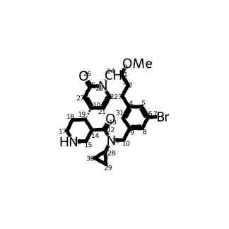 COCCCc1cc(Br)cc(CN(C(=O)C2CNCC[C@@H]2c2ccn(C)c(=O)c2)C2CC2)c1